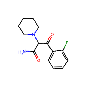 NC(=O)C(C(=O)c1ccccc1F)N1CCCCC1